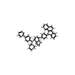 c1ccc(-c2ccc(N(c3ccccc3)c3ccc(-c4ccc(-n5c6ccccc6c6ccc7ccccc7c65)cc4)c4nsnc34)cc2)cc1